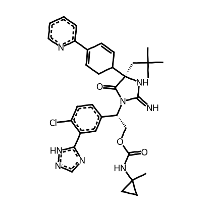 CC(C)(C)C[C@]1(C2C=CC(c3ccccn3)=CC2)NC(=N)N([C@H](COC(=O)NC2(C)CC2)c2ccc(Cl)c(-c3ncn[nH]3)c2)C1=O